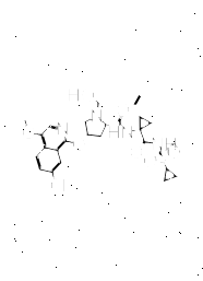 C=C[C@@H]1C[C@]1(NC(=O)[C@@H]1C[C@@H](Oc2ncc(OC)c3ccc(Cl)cc23)CN1CO)C(=O)NS(=O)(=O)C1CC1